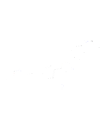 CC(C)OC(=O)NC1CCC(c2ncc(-c3ccc(OCCNC(=O)OC(C)(C)C)cc3S(=O)(=O)NC(C)(C)C)s2)CC1